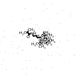 C=C(C)C(=O)NCCCC[Si](O[Si](C)(C)C)(O[Si](C)(C)C)O[Si](C)(C)C